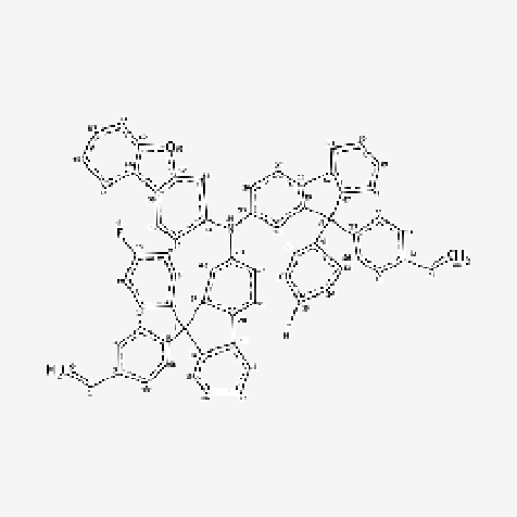 C=Cc1ccc(C2(c3ccc(F)cc3)c3ccccc3-c3ccc(N(c4ccc5c(c4)C(c4ccc(F)cc4)(c4ccc(C=C)cc4)c4ccccc4-5)c4ccc5c(c4)oc4ccccc45)cc32)cc1